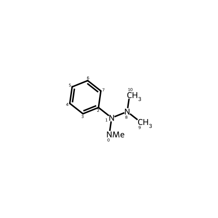 CNN(c1ccccc1)N(C)C